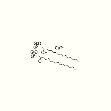 CCCCCCCCCCCCCCCC(O)CCS(=O)(=O)[O-].CCCCCCCCCCCCCCCC(O)CCS(=O)(=O)[O-].[Ca+2]